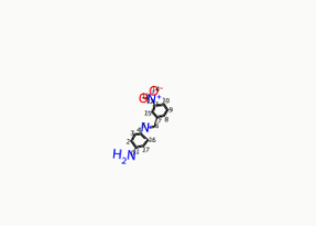 Nc1ccc(N=Cc2cccc([N+](=O)[O-])c2)cc1